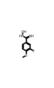 CSc1ccc(C(=N)NO)cc1F